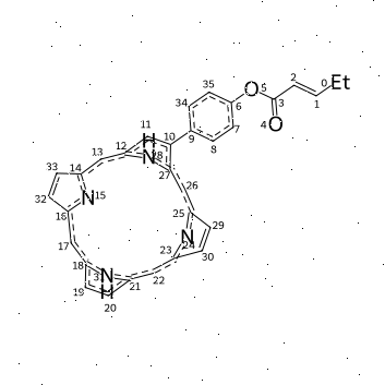 CCC=CC(=O)Oc1ccc(-c2cc3cc4nc(cc5ccc(cc6nc(cc2[nH]3)C=C6)[nH]5)C=C4)cc1